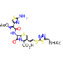 CON=C(C(=O)NC1C(=O)N2C(C(=O)O)=C(C=CSc3nnc(CNC(C)=O)s3)CSC12)c1csc(N)n1